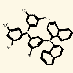 Cc1cc(C)cc(N(c2cc(C)cc(C)c2)c2cc(Br)cc(N(c3cccc4ccccc34)c3cccc4ccccc34)c2)c1